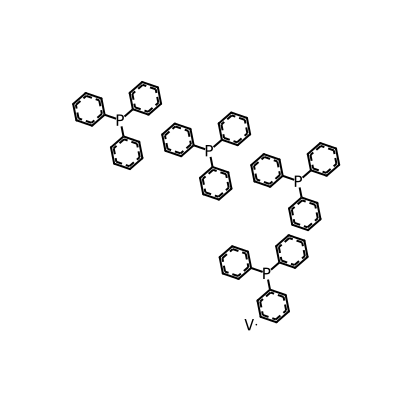 [V].c1ccc(P(c2ccccc2)c2ccccc2)cc1.c1ccc(P(c2ccccc2)c2ccccc2)cc1.c1ccc(P(c2ccccc2)c2ccccc2)cc1.c1ccc(P(c2ccccc2)c2ccccc2)cc1